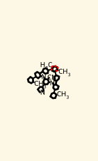 Cc1ccccc1-c1ccc2c3ccc(-c4ccccc4C)cc3n(-c3cc(-c4cccnc4)cc(-n4c5cc(-c6ccccc6C)ccc5c5ccc(-c6ccccc6C)cc54)c3C#N)c2c1